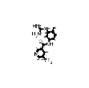 Cc1ccc(NC(=O)c2cncc(C(F)(F)F)c2)cc1NC(=N)N